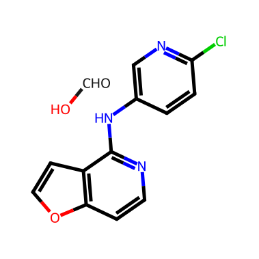 Clc1ccc(Nc2nccc3occc23)cn1.O=CO